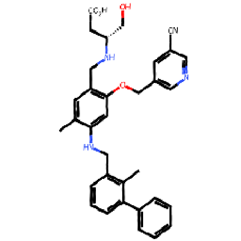 Cc1cc(CN[C@@H](CO)CC(=O)O)c(OCc2cncc(C#N)c2)cc1NCc1cccc(-c2ccccc2)c1C